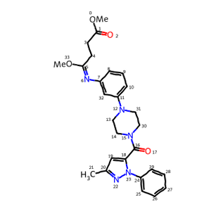 COC(=O)CCC(=Nc1cccc(N2CCN(C(=O)c3cc(C)nn3-c3ccccc3)CC2)c1)OC